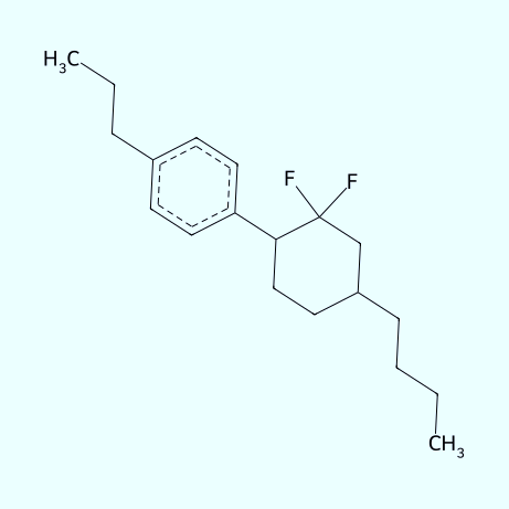 CCCCC1CCC(c2ccc(CCC)cc2)C(F)(F)C1